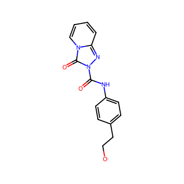 [O]CCc1ccc(NC(=O)n2nc3ccccn3c2=O)cc1